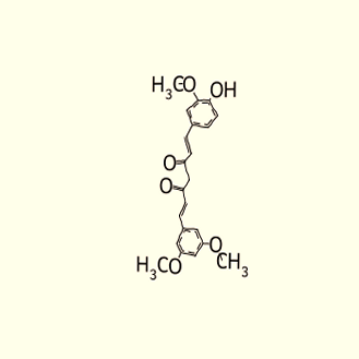 COc1cc(C=CC(=O)CC(=O)C=Cc2ccc(O)c(OC)c2)cc(OC)c1